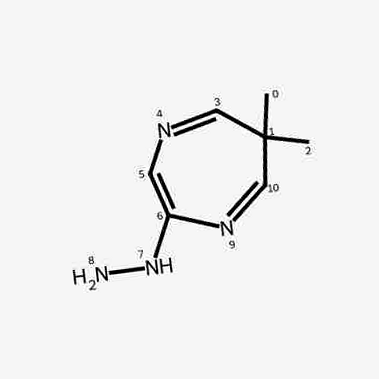 CC1(C)C=NC=C(NN)N=C1